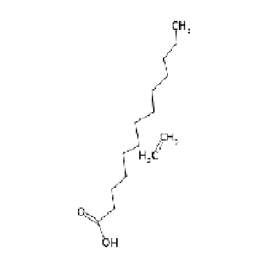 C=C.CCCCCCCCCCCCC(=O)O